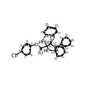 O=C(Oc1ccc(Cl)cc1)C(Pc1ccccc1)(Pc1ccccc1)C(=O)Pc1ccccc1